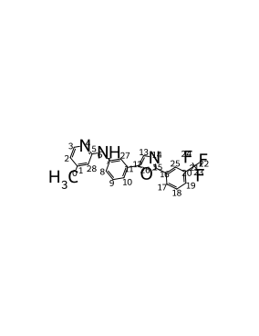 Cc1ccnc(Nc2cccc(-c3cnc(-c4cccc(C(F)(F)F)c4)o3)c2)c1